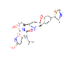 COc1cc([C@@H](C(=O)N2C[C@H](O)C[C@H]2C2=CC(=O)[C@@](C)(c3ccc(-c4scnc4C)cc3)N2)C(C)C)on1